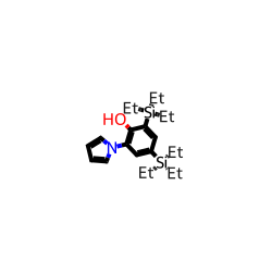 CC[Si](CC)(CC)c1cc(-n2cccc2)c(O)c([Si](CC)(CC)CC)c1